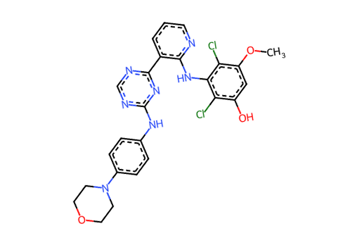 COc1cc(O)c(Cl)c(Nc2ncccc2-c2ncnc(Nc3ccc(N4CCOCC4)cc3)n2)c1Cl